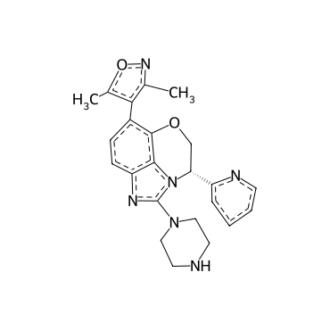 Cc1noc(C)c1-c1ccc2nc(N3CCNCC3)n3c2c1OC[C@@H]3c1ccccn1